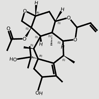 C=CC1O[C@H]2C[C@H]3OC[C@@]3(OC(C)=O)[C@H]3[C@H](C)[C@]4(C(C)(C)O)CC(O)C(C)=C4[C@H](C)[C@H](O1)[C@]23C